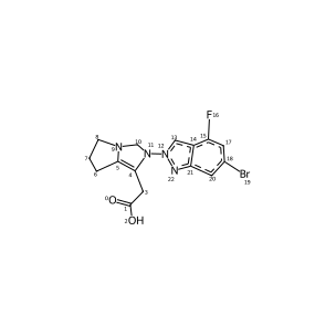 O=C(O)CC1=C2CCCN2CN1n1cc2c(F)cc(Br)cc2n1